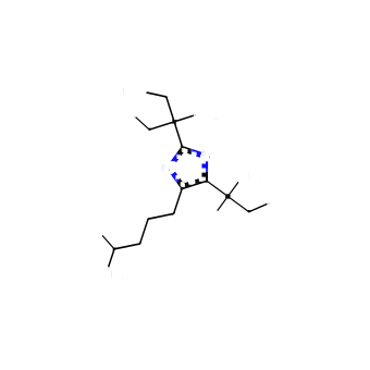 CCC(C)(C)c1nc(C(C)(CC)CC)[nH]c1CCCC(C)C